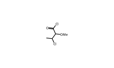 COC(C(=O)Cl)C(C)Cl